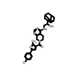 Cc1oc(-c2ccc(Cl)cc2)cc1C(=O)N1CCc2c(ncnc2NCC(O)C23CC4CC(CC(C4)C2)C3)C1